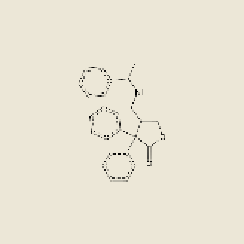 CC(NCC1COC(=O)C1(c1ccccc1)c1ccccc1)c1ccccc1